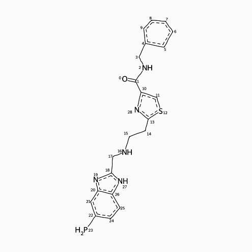 O=C(NCc1ccccc1)c1csc(CCNCc2nc3cc(P)ccc3[nH]2)n1